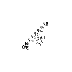 Clc1ccccc1.O=S(=O)=NCCCCCCCCCCCCBr